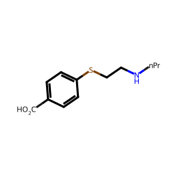 CCCNCCSc1ccc(C(=O)O)cc1